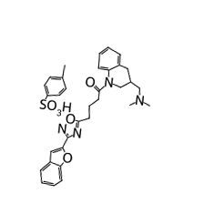 CN(C)CC1Cc2ccccc2N(C(=O)CCCc2nc(-c3cc4ccccc4o3)no2)C1.Cc1ccc(S(=O)(=O)O)cc1